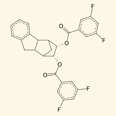 O=C(O[C@@H]1C2CC(C3c4ccccc4CC32)[C@@H]1OC(=O)c1cc(F)cc(F)c1)c1cc(F)cc(F)c1